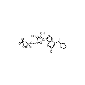 O=P(O)(O)CP(=O)(O)OC[C@H]1O[C@@H](c2ncc3c(NC4CCCC4)cc(Cl)nn23)[C@H](O)[C@@H]1O